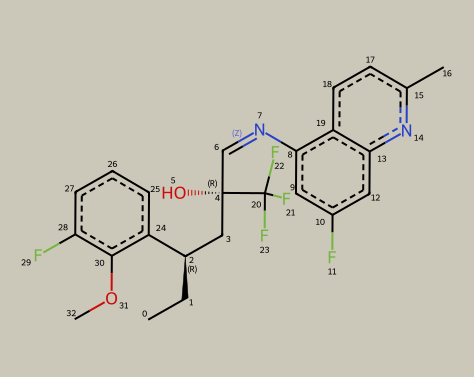 CC[C@H](C[C@@](O)(/C=N\c1cc(F)cc2nc(C)ccc12)C(F)(F)F)c1cccc(F)c1OC